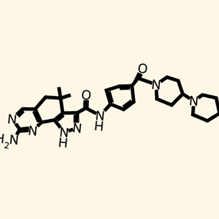 CC1(C)Cc2cnc(N)nc2-c2[nH]nc(C(=O)Nc3ccc(C(=O)N4CCC(N5CCCCC5)CC4)cc3)c21